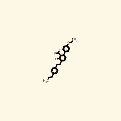 CCCc1ccc(CCc2ccc(-c3ccc(OCC)cc3)c(C(F)F)c2F)cc1